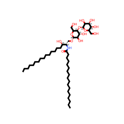 CCCCCCCCCCCCCCCCCC(=O)N[C@@H](CO[C@@H]1OC(CO)[C@@H](O[C@@H]2OC(CO)[C@H](O)[C@H](O)C2O)[C@H](O)C1O)[C@H](O)CCCCCCCCCCCCCCC